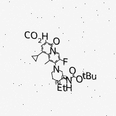 CC[C@@H]1CCN(c2c(F)cn3c(=O)c(C(=O)O)cc(C4CC4)c3c2C)C[C@H]1NC(=O)OC(C)(C)C